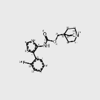 O=C(Nc1ncsc1-c1ccccc1F)OCC12CCN(CC1)CC2